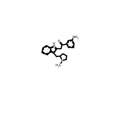 CN1CCCC1Cc1c(CC(=O)c2cccc(N)c2)[nH]c2ccccc12